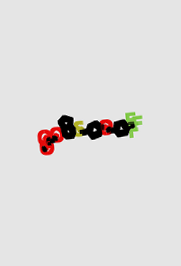 COC(=O)COc1ccc(SCc2ccc(OCc3ccc(C(F)(F)F)cc3)cc2)c2c1CCC2